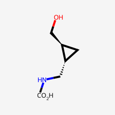 O=C(O)NC[C@H]1C[C@@H]1CO